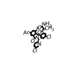 CC(=O)c1cc(F)c2c(c1)C(=O)N(Cc1ccc(Cl)cn1)C2(OC[C@@H](C)C(N)=O)c1ccc(Cl)cc1